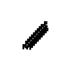 F[CH]C(F)(F)C(F)(F)C(F)(F)C(F)(F)C(F)(F)C(F)(F)C(F)(F)C(F)(F)C(F)(F)CF